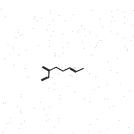 C=CC(=C)CC/C=C/C